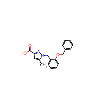 Cc1cc(C(=O)O)nn1Cc1ccccc1OCc1ccccc1